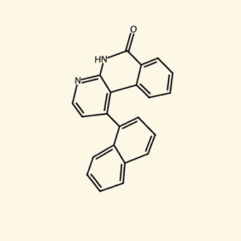 O=c1[nH]c2nccc(-c3cccc4ccccc34)c2c2ccccc12